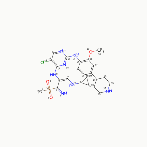 CC(C)S(=O)(=O)C(=N)/C(=C\NC1CC1)Nc1nc(Nc2ccc(C3CCNCC3)cc2OC(F)(F)F)ncc1Cl